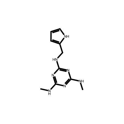 CNc1nc(NC)nc(NCc2ccc[nH]2)n1